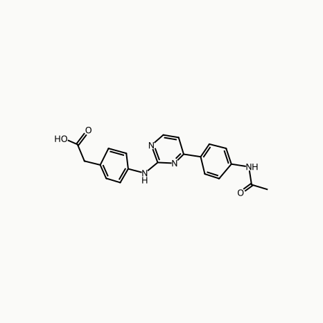 CC(=O)Nc1ccc(-c2ccnc(Nc3ccc(CC(=O)O)cc3)n2)cc1